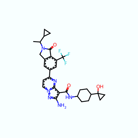 CC(C1CC1)N1Cc2cc(-c3ccn4nc(N)c(C(=O)NC5CCC(C6(O)CC6)CC5)c4n3)cc(C(F)(F)F)c2C1=O